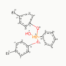 CCc1ccc(O[PH](O)(Oc2ccc(CC)cc2)c2ccccc2)cc1